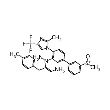 Cc1ccc(C/C(=C/N)N(N)c2cc(-c3cccc([S+](C)[O-])c3)ccc2-n2cc(C(F)(F)F)nc2C)cc1